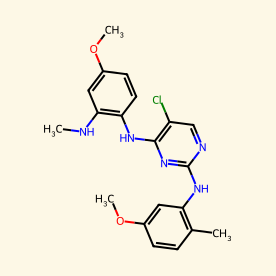 CNc1cc(OC)ccc1Nc1nc(Nc2cc(OC)ccc2C)ncc1Cl